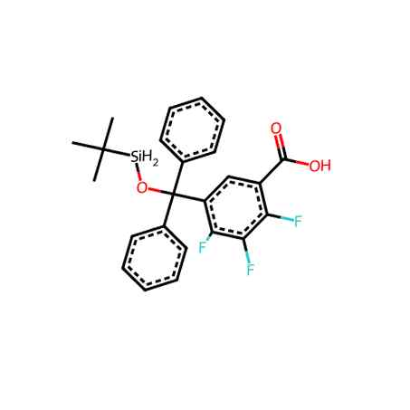 CC(C)(C)[SiH2]OC(c1ccccc1)(c1ccccc1)c1cc(C(=O)O)c(F)c(F)c1F